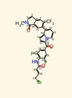 Cn1ccc2cc(C(F)(F)F)c(-c3cccn4c(C(=O)c5cc(F)c(NC(=O)/C=C/CBr)c(F)c5)ccc34)cc2c1=O